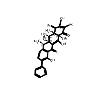 CC(=O)C1=C(O)C(C(C)C)[C@@]2(C)[C@H](O)[C@]3(C)C(=C(O)[C@@]2(O)C1=O)C(=O)c1c(ccc(-c2ccccc2)c1O)[C@H]3C